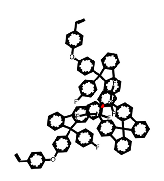 C=Cc1ccc(Oc2ccc(C3(c4ccc(F)cc4)c4ccccc4-c4ccc(N(c5ccc6c(c5)C5(c7ccccc7-6)c6ccccc6-c6ccc(N(c7ccc8c(c7)C(c7ccc(F)cc7)(c7ccc(Oc9ccc(C=C)cc9)cc7)c7ccccc7-8)c7ccc(F)cc7F)cc65)c5ccc(F)cc5F)cc43)cc2)cc1